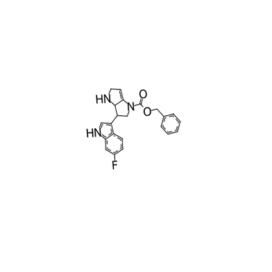 O=C(OCc1ccccc1)N1CC(c2c[nH]c3cc(F)ccc23)C2NCC=C21